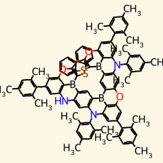 Cc1cc(C)c(-c2cc3c4c(c2)Oc2c(sc5ccccc25)B4c2cc4c(cc2N3)N(c2c(C)cc(C)cc2C)c2cc(-c3c(C)cc(C)cc3C)cc3c2B4c2cc4c(cc2O3)N(c2c(C)cc(C)cc2C)c2cc(-c3c(C)cc(C)cc3C)cc3c2B4c2sc4ccccc4c2O3)c(C)c1